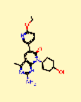 CCOc1ccc(-c2cc3c(C)nc(N)nc3n(C3CCC(O)CC3)c2=O)cn1